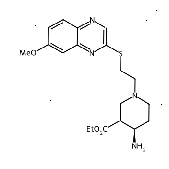 CCOC(=O)C1CN(CCSc2cnc3ccc(OC)cc3n2)CC[C@H]1N